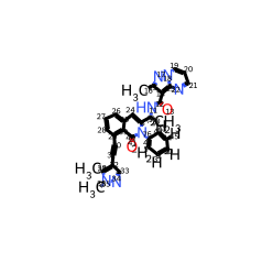 [2H]c1c([2H])c([2H])c(-n2c([C@H](C)NC(=O)c3c(C)nn4cccnc34)cc3cccc(C#Cc4cnn(C)c4C)c3c2=O)c([2H])c1[2H]